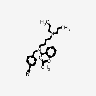 CCCN(CCC)CCCCN(Cc1ccc(C#N)cc1)C(OC(C)=O)c1ccccc1